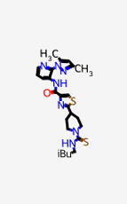 CCC(C)CNC(=S)N1CCC(c2nc(C(=O)Nc3cccnc3-n3nc(C)cc3C)cs2)CC1